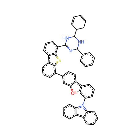 C1=CCC(C2NC(c3cccc4c3sc3c(-c5ccc6c(c5)oc5c(-n7c8ccccc8c8ccccc87)cccc56)cccc34)=NC(c3ccccc3)N2)C=C1